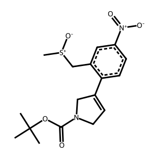 C[S+]([O-])Cc1cc([N+](=O)[O-])ccc1C1=CCN(C(=O)OC(C)(C)C)C1